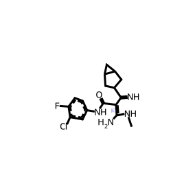 CN/C(N)=C(\C(=N)C1CC2CC2C1)C(=O)Nc1ccc(F)c(Cl)c1